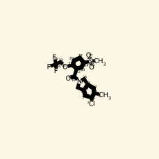 Cc1cc2c(cc1Cl)CN(C(=O)c1cc(S(C)(=O)=O)ccc1OCC(F)(F)F)C2